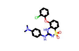 CN(C)c1ccc(NC2=NS(=O)(=O)c3cccc(Oc4ccccc4Cl)c3N2)cc1